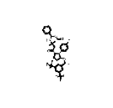 C[C@@H](O[C@H]1CC[C@@H](C(=O)CC(C)(C)N[C@@H](OC=O)c2ccccc2)[C@@H]1c1ccc(F)cc1)c1cc(C(F)(F)F)cc(C(F)(F)F)c1